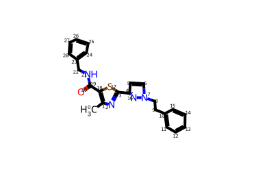 Cc1nc(-c2ccn(CCc3ccccc3)n2)sc1C(=O)NCc1ccccc1